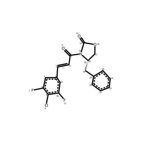 O=C(/C=C/c1cc(F)c(Cl)c(F)c1)N1C(=O)OC[C@@H]1Cc1ccccc1